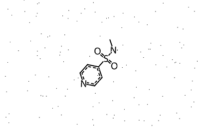 C[N]S(=O)(=O)c1ccncc1